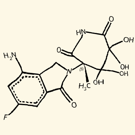 C[C@@]1(N2Cc3c(N)cc(F)cc3C2=O)C(=O)NC(=O)C(O)(O)C1(O)O